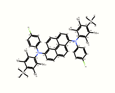 [2H]c1c([2H])c([Si](C)(C)C)c([2H])c([2H])c1N(c1ccc(F)cc1)c1ccc2ccc3c(N(c4ccc(F)cc4)c4c([2H])c([2H])c([Si](C)(C)C)c([2H])c4[2H])ccc4ccc1c2c43